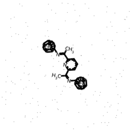 CC(=N[C]12[CH]3[CH]4[CH]5[CH]1[Fe]45321678[CH]2[CH]1[CH]6[CH]7[CH]28)c1cccc(C(C)=N[C]23[CH]4[CH]5[CH]6[CH]2[Fe]56432789[CH]3[CH]2[CH]7[CH]8[CH]39)n1